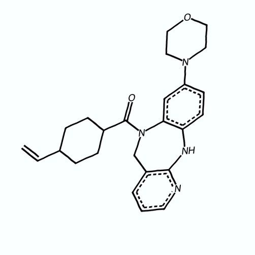 C=CC1CCC(C(=O)N2Cc3cccnc3Nc3ccc(N4CCOCC4)cc32)CC1